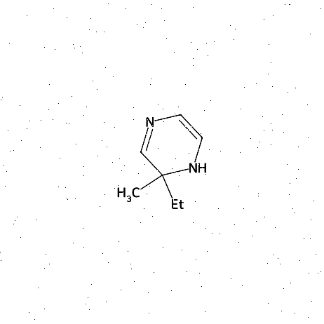 CCC1(C)C=NC=CN1